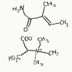 C/C=C(\C)C(N)=O.C[N+](C)(C)C(C(=O)[O-])C(=O)O